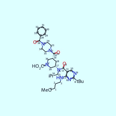 COCCCNc1nc(C(C)(C)C)ncc1C(=O)N(CC(C)C)[C@H]1C[C@@H](C(=O)N2CCN(C(=O)c3ccccc3)CC2)CN(C(=O)O)C1